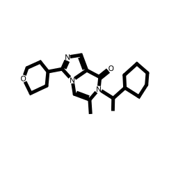 Cc1cn2c(C3CCOCC3)ncc2c(=O)n1C(C)C1CCCCC1